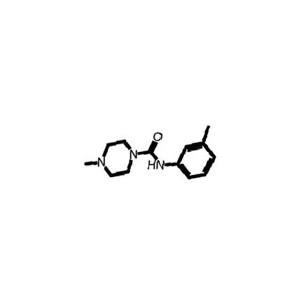 Cc1cccc(NC(=O)N2CCN(C)CC2)c1